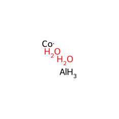 O.O.[AlH3].[Co]